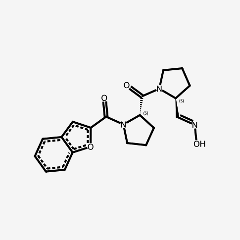 O=C([C@@H]1CCCN1C(=O)c1cc2ccccc2o1)N1CCC[C@H]1C=NO